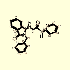 O=C(CNC1c2ccccc2C(=O)N1Cc1ccccc1)Nc1ccccn1